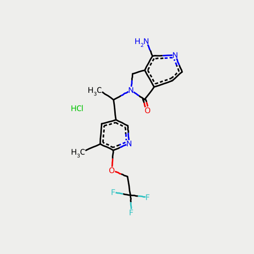 Cc1cc(C(C)N2Cc3c(ccnc3N)C2=O)cnc1OCC(F)(F)F.Cl